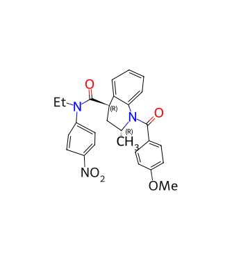 CCN(C(=O)[C@@H]1C[C@@H](C)N(C(=O)c2ccc(OC)cc2)c2ccccc21)c1ccc([N+](=O)[O-])cc1